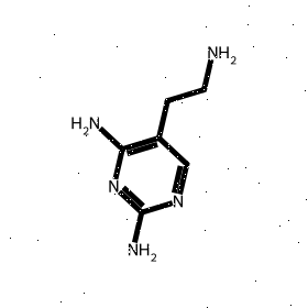 NCCc1cnc(N)nc1N